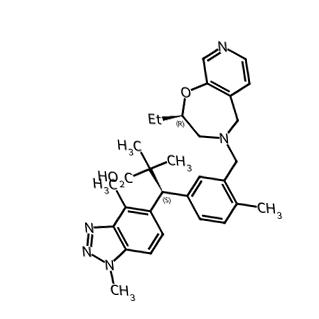 CC[C@@H]1CN(Cc2cc([C@@H](c3ccc4c(nnn4C)c3C)C(C)(C)C(=O)O)ccc2C)Cc2ccncc2O1